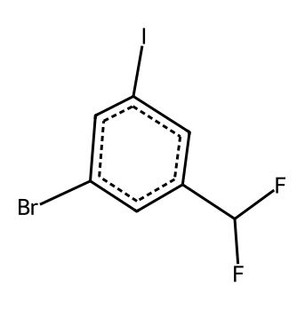 FC(F)c1cc(Br)cc(I)c1